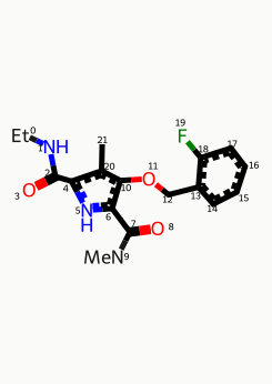 CCNC(=O)c1[nH]c(C(=O)NC)c(OCc2ccccc2F)c1C